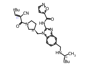 C[C@H](NCc1ccc2c(c1)nc(NC(=O)c1ccno1)n2C[C@@H]1CCN(C(=O)/C(C#N)=C/C(C)(C)C)C1)C(C)(C)C